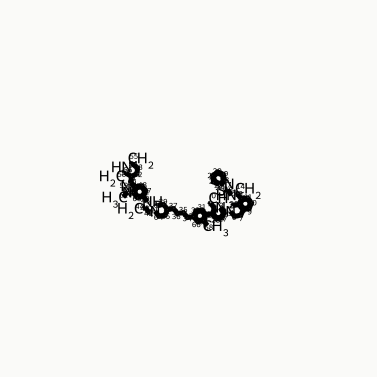 C=Cc1nc(N2CCc3cccc(C(=C)Nc4nc5ccccc5s4)c3C2)ccc1-c1ccc(CCCCC2CCN(CC(=C)Nc3ccc4c(C5CCC(=C)NC5=C)nn(C)c4c3)CC2)cc1C